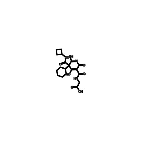 O=C(O)CNC(=O)C1=C(O)C(C(=O)NC2CCC2)(C2CCCCC2)C(O)=NC1=O